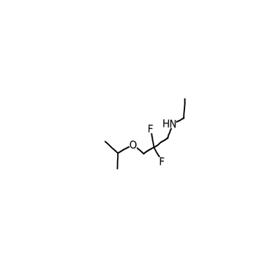 CCNCC(F)(F)COC(C)C